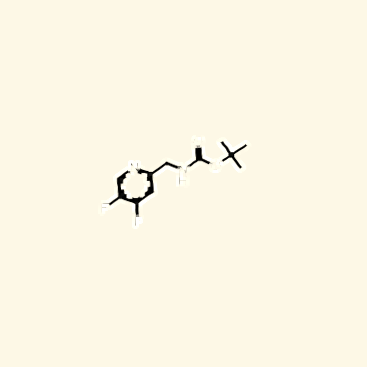 CC(C)(C)OC(=O)NCc1cc(F)c(F)cn1